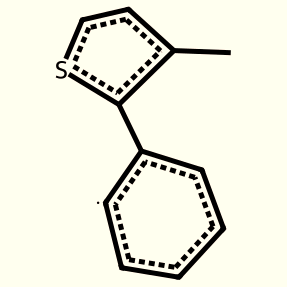 Cc1ccsc1-c1[c]cccc1